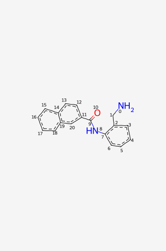 NCc1ccccc1NC(=O)c1ccc2ccccc2c1